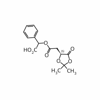 CC1(C)OC(=O)[C@H](CC(=O)OC(C(=O)O)c2ccccc2)O1